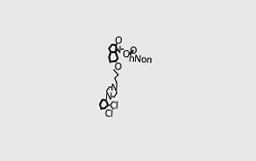 CCCCCCCCCC(=O)OCn1c(=O)ccc2ccc(OCCCCN3CCN(c4cccc(Cl)c4Cl)CC3)cc21